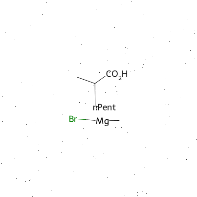 CCCCCC(C)C(=O)O.[CH3][Mg][Br]